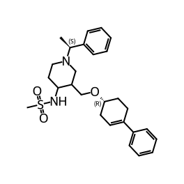 C[C@@H](c1ccccc1)N1CCC(NS(C)(=O)=O)C(CO[C@H]2CC=C(c3ccccc3)CC2)C1